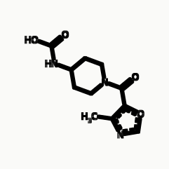 Cc1ncoc1C(=O)N1CCC(NC(=O)O)CC1